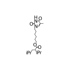 Cc1cn(CCCCCCOC(=O)C(CC(C)C)C(C)C)c(=O)[nH]c1=O